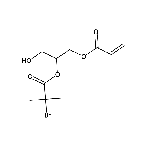 C=CC(=O)OCC(CO)OC(=O)C(C)(C)Br